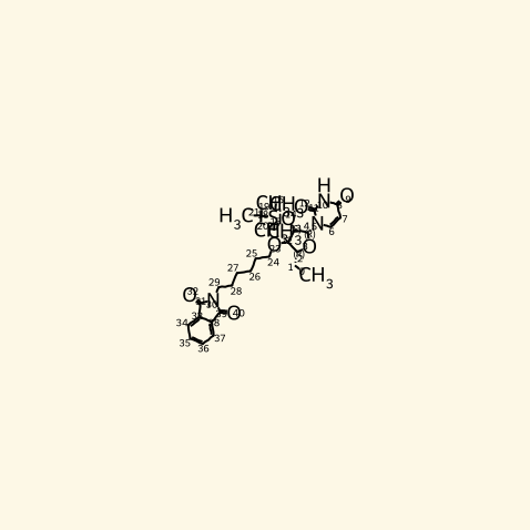 CC[C@H]1O[C@@H](n2ccc(=O)[nH]c2=O)[C@@H](O[Si](C)(C)C(C)(C)C)C1OCCCCCCN1C(=O)c2ccccc2C1=O